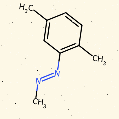 C/N=N/c1cc(C)ccc1C